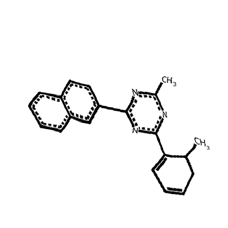 Cc1nc(C2=CC=CCC2C)nc(-c2ccc3ccccc3c2)n1